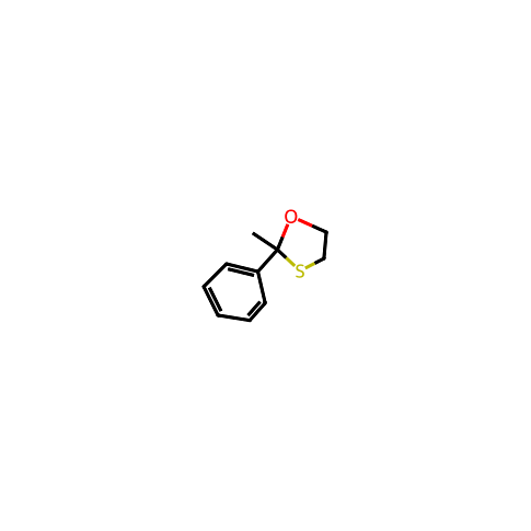 CC1(c2ccccc2)OCCS1